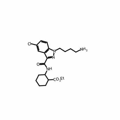 CCOC(=O)C1CCCCC1NC(=O)c1nn(CCCCN)c2ccc(Cl)cc12